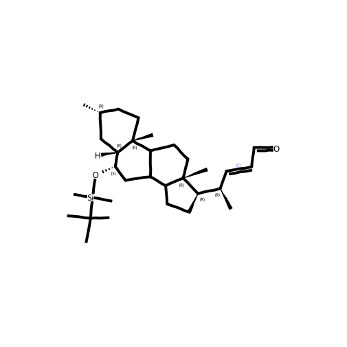 C[C@@H]1CC[C@]2(C)C3CC[C@@]4(C)C(CC[C@@H]4[C@H](C)/C=C/C=O)C3C[C@H](O[Si](C)(C)C(C)(C)C)[C@@H]2C1